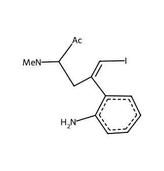 CNC(C/C(=C/I)c1ccccc1N)C(C)=O